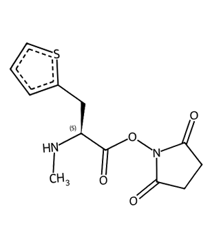 CN[C@@H](Cc1cccs1)C(=O)ON1C(=O)CCC1=O